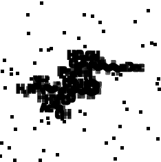 CCCCCCCCCCCCCCCC(=O)N[C@H](C(=O)N[C@H](C(=O)N[C@@H](Cc1ccccc1)C(=O)N[C@@H](CCCNC(=N)N)C(=O)N[C@@H](CO)C(C)=O)C(C)C)[C@H](C)O